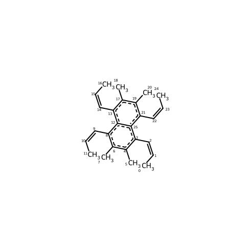 C/C=C\c1c(C)c(C)c(/C=C\C)c2c(/C=C\C)c(C)c(C)c(/C=C\C)c12